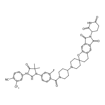 CC1(C)C(=O)[SH](c2ccc(C#N)c(C(F)(F)F)c2)NN1c1ccc(C(=O)N2CCC(N3CCC4(CCc5cc6c(cc5O4)C(=O)N(C4CCC(=O)NC4=O)C6=O)CC3)CC2)c(F)c1